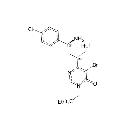 CCOC(=O)Cn1cnc([C@@H](C)C[C@H](N)c2ccc(Cl)cc2)c(Br)c1=O.Cl